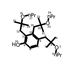 CCCOC(C)(C)Cc1ccc(O)c(CC(C)(C)OCCC)c1CC(C)(C)OCCC